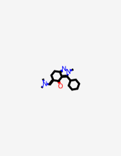 CN(C)/C=C1\CCc2nn(C)c(C3CCCCC3)c2C1=O